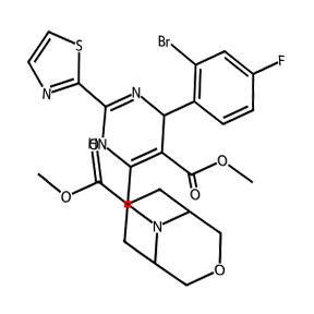 COC(=O)C1=C(CN2C3COCC2CC(C(=O)OC)C3)NC(c2nccs2)=NC1c1ccc(F)cc1Br